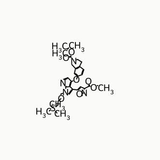 CCOC(=O)c1cc(-c2cn(COCCS(C)(C)C)c3nccc(Oc4ccc5c(c4)CN(C(=O)OC(C)(C)C)CC5)c23)on1